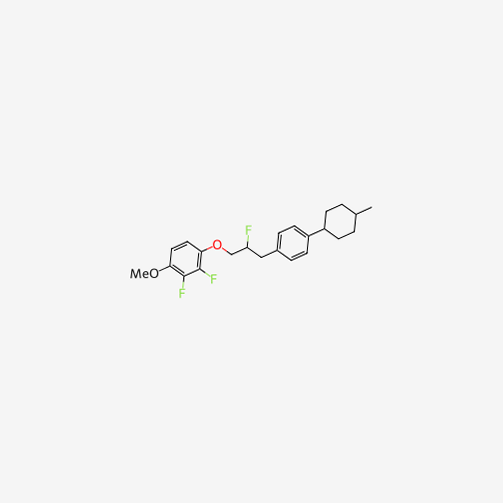 COc1ccc(OCC(F)Cc2ccc(C3CCC(C)CC3)cc2)c(F)c1F